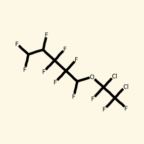 FC(F)C(F)C(F)(F)C(F)(F)C(F)OC(F)(Cl)C(F)(F)Cl